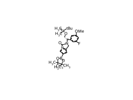 COc1cc(F)cc([C@@H](CO[Si](C)(C)C(C)(C)C)N2Cc3cc(B4OC(C)(C)C(C)(C)O4)cn3C2=O)c1